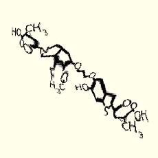 COc1c(OCCCOc2cc3cc(C(=O)C[C@H](C)C(=O)O)sc3cc2O)cc2c(c1F)CN(C(=O)C[C@H](C)C(=O)O)C2